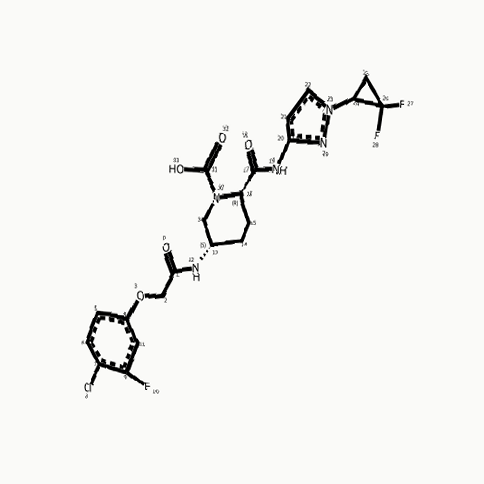 O=C(COc1ccc(Cl)c(F)c1)N[C@H]1CC[C@H](C(=O)Nc2ccn(C3CC3(F)F)n2)N(C(=O)O)C1